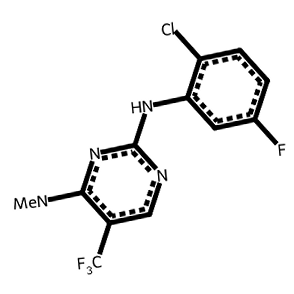 CNc1nc(Nc2cc(F)ccc2Cl)ncc1C(F)(F)F